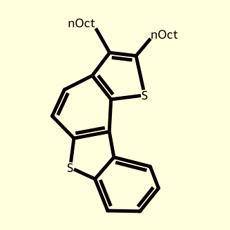 CCCCCCCCc1sc2c(ccc3sc4ccccc4c32)c1CCCCCCCC